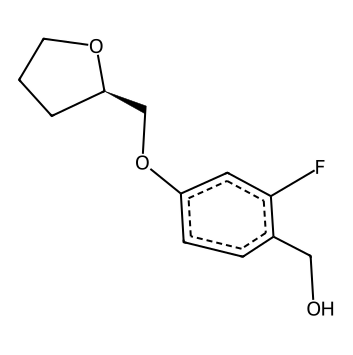 OCc1ccc(OC[C@H]2CCCO2)cc1F